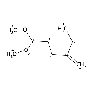 C=C(CC)CCC(OC)OC